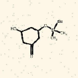 CC(C)(C)[Si](C)(C)OC1CC(=O)CC(O)C1